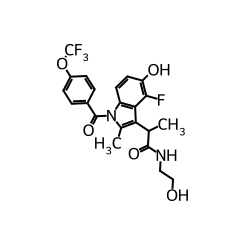 Cc1c(C(C)C(=O)NCCO)c2c(F)c(O)ccc2n1C(=O)c1ccc(OC(F)(F)F)cc1